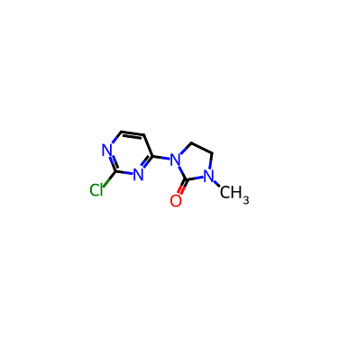 CN1CCN(c2ccnc(Cl)n2)C1=O